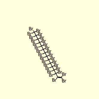 BrC(Br)=C(Br)C(Br)(Br)C(Br)(Br)C(Br)(Br)C(Br)(Br)C(Br)(Br)C(Br)(Br)C(Br)(Br)C(Br)(Br)C(Br)(Br)C(Br)(Br)C(Br)(Br)C(Br)(Br)C(Br)(Br)Br